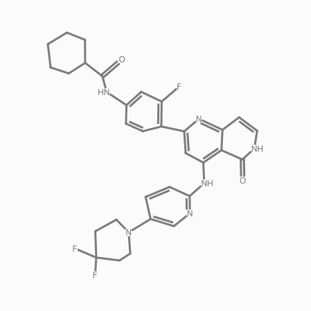 O=C(Nc1ccc(-c2cc(Nc3ccc(N4CCC(F)(F)CC4)cn3)c3c(=O)[nH]ccc3n2)c(F)c1)C1CCCCC1